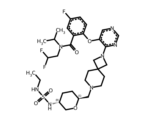 CCNS(=O)(=O)N[C@@H]1CC[C@@H](CN2CCC3(CC2)CN(c2ncncc2Oc2ccc(F)cc2C(=O)N(CC(F)F)C(C)C)C3)OC1